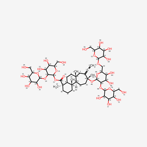 C=C=C1C[C@@]2(C)CCC3[C@](C)(C(=O)OC4OC(CO)C(O)C(O)C4OC4OC(CO)C(O)C(O)C4O)CCC[C@@]3(C)[C@@H]2CC[C@@]1(C)OC1OC(COC2OC(CO)C(O)C(O)C2O)C(O)C(O)C1OC1OC(CO)C(O)C(O)C1O